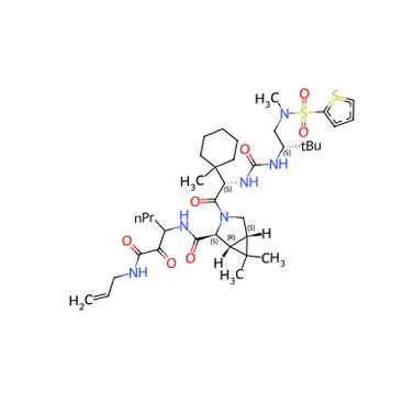 C=CCNC(=O)C(=O)C(CCC)NC(=O)[C@@H]1[C@@H]2[C@H](CN1C(=O)[C@@H](NC(=O)N[C@H](CN(C)S(=O)(=O)c1cccs1)C(C)(C)C)C1(C)CCCCC1)C2(C)C